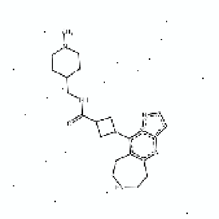 CN1CCC(CNC(=O)C2CN(c3c4c(nc5ccnn35)CCNCC4)C2)CC1